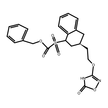 O=C(OCc1ccccc1)S(=O)(=O)C1C[C@H](CCOc2noc(=O)[nH]2)Cc2ccccc21